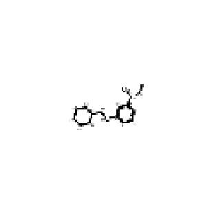 CC[S+]([O-])c1cccc(OCC2CCCCC2)c1